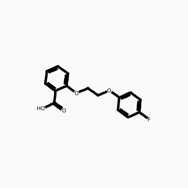 O=C(O)c1ccccc1OCCOc1ccc(F)cc1